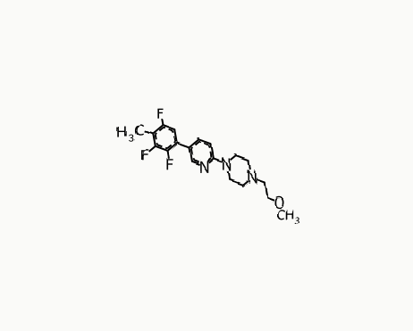 COCCN1CCN(c2ccc(-c3cc(F)c(C)c(F)c3F)cn2)CC1